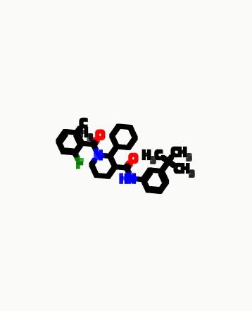 Cc1cccc(F)c1C(=O)N1CCCC(C(=O)Nc2cccc(C(C)(C)C)c2)C1C1CCCCC1